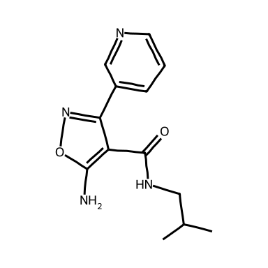 CC(C)CNC(=O)c1c(-c2cccnc2)noc1N